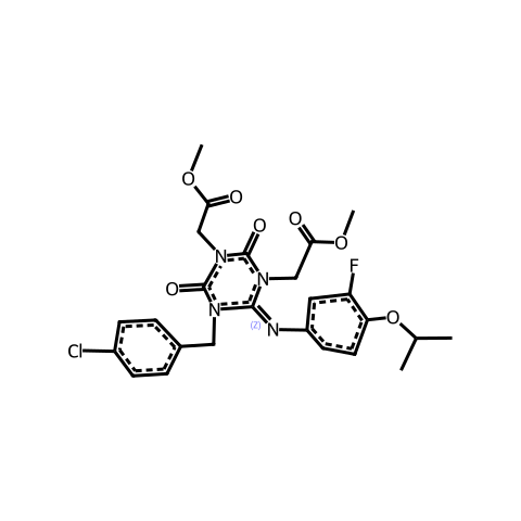 COC(=O)Cn1c(=O)n(CC(=O)OC)/c(=N\c2ccc(OC(C)C)c(F)c2)n(Cc2ccc(Cl)cc2)c1=O